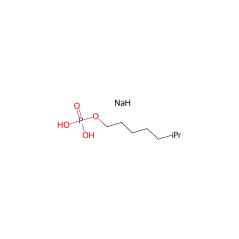 CC(C)CCCCCOP(=O)(O)O.[NaH]